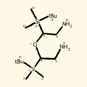 CC(C)(C)[Si](C)(C)C(CN)OC(CN)[Si](C)(C)C(C)(C)C